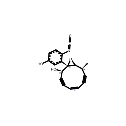 C[C@H]1C#C/C=C\C#C[C@@H](O)[C@]2(c3cc(O)ccc3N=C=O)OC12